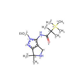 CCOC(=O)n1nc2c(c1NC(=O)C(C)(C)S(C)(C)C)CNC2(C)C